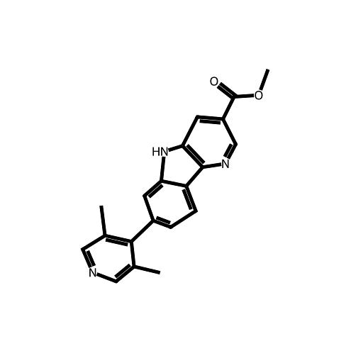 COC(=O)c1cnc2c(c1)[nH]c1cc(-c3c(C)cncc3C)ccc12